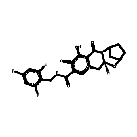 O=C(NCc1c(F)cc(F)cc1F)c1cn2c(c(O)c1=O)C(=O)N1C3CCC(C3)O[C@@H]1C2